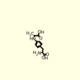 C[C@H](Nc1ccc(C[C@H](N)C(=O)O)cc1)C(=O)O